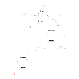 COc1cc(C2SCSC2c2ccc(OCCSc3ccc(O)cc3)c(OC)c2N(C)C)cc(OC)c1OC